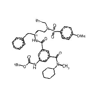 COc1ccc(S(=O)(=O)N(CC[C@H](Cc2ccccc2)NC(=O)c2cc(NC(=O)OC(C)(C)C)cc(C(=O)N(C)C3CCCCC3)c2)CC(C)C)cc1